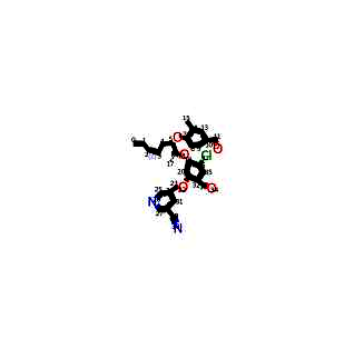 C=C/C=C\CC(Oc1ccc(C=O)cc1C)[C@@H](C)Oc1cc(OCc2cncc(C#N)c2)c(C=O)cc1Cl